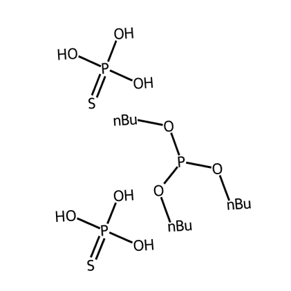 CCCCOP(OCCCC)OCCCC.OP(O)(O)=S.OP(O)(O)=S